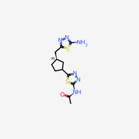 CC(=O)Nc1nnc(C2CC[C@@H](Cc3nnc(N)s3)C2)s1